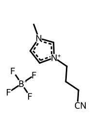 Cn1cc[n+](CCCC#N)c1.F[B-](F)(F)F